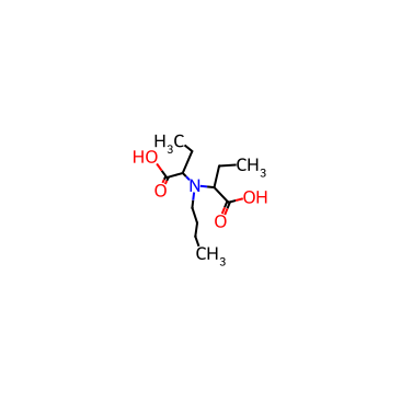 CCCCN(C(CC)C(=O)O)C(CC)C(=O)O